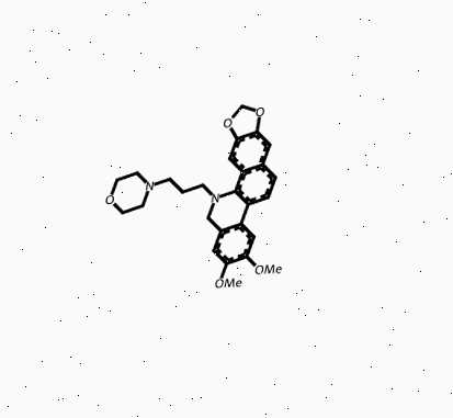 COc1cc2c(cc1OC)-c1ccc3cc4c(cc3c1N(CCCN1CCOCC1)C2)OCO4